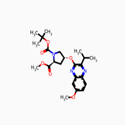 COC(=O)[C@@H]1C[C@@H](Oc2nc3cc(OC)ccc3nc2C(C)C)CN1C(=O)OC(C)(C)C